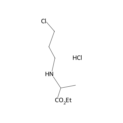 CCOC(=O)C(C)NCCCCl.Cl